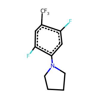 Fc1cc(C(F)(F)F)c(F)cc1N1CCCC1